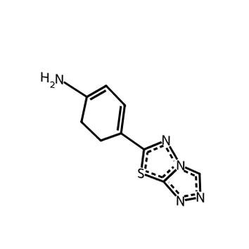 NC1=CC=C(c2nn3cnnc3s2)CC1